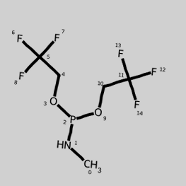 CNP(OCC(F)(F)F)OCC(F)(F)F